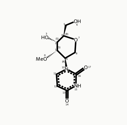 CO[C@@H]1[C@H](O)[C@@H](CO)OC[C@H]1n1ccc(=O)[nH]c1=O